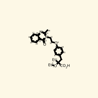 CCOC(CC)(Cc1ccc(OCCn2c(C)nc3ccccc3c2=O)cc1)C(=O)O